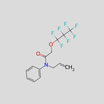 C=CCN(C(=O)COC(F)(F)C(F)(F)C(F)(F)F)c1ccccc1